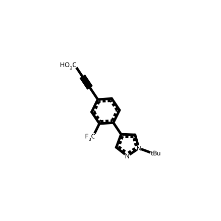 CC(C)(C)n1cc(-c2ccc(C#CC(=O)O)cc2C(F)(F)F)cn1